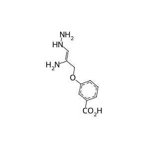 NN/C=C(\N)COc1cccc(C(=O)O)c1